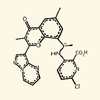 Cc1cc([C@@H](C)Nc2ccc(Cl)nc2C(=O)O)c2oc(-c3cnn4cccnc34)c(C)c(=O)c2c1